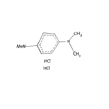 CNc1ccc(N(C)C)cc1.Cl.Cl